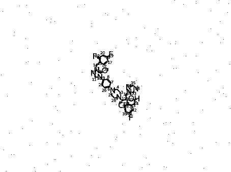 C[C@@H](N1CCN(c2ccc(-n3cnn(Cc4ccc(F)cc4F)c3=O)cc2)CC1)[C@](O)(Cn1cncn1)c1ccc(F)cc1F